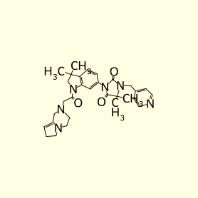 CC1(C)CN(C(=O)CN2CCN3CCC=C3C2)c2cc(N3C(=O)N(Cc4ccncc4)C(C)(C)C3=O)ccc21